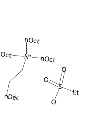 CCCCCCCCCCCC[N+](CCCCCCCC)(CCCCCCCC)CCCCCCCC.CCS(=O)(=O)[O-]